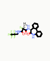 C[C@@](F)(C(=O)NCC(F)(F)C(F)(F)F)C(=O)N[C@H]1C(=O)Nc2ccccc2-c2ccccc21